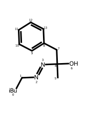 CCC(C)C/N=N/C(C)(O)Cc1ccccc1